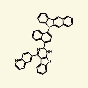 c1ccc2cc3c(cc2c1)c1ccccc1n3-c1ccc(C2N=C(c3ccc4ncccc4c3)c3c(oc4ccccc34)N2)c2ccccc12